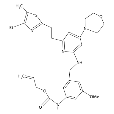 C=CCOC(=O)Nc1cc(CNc2cc(N3CCOCC3)cc(CCc3nc(CC)c(C)s3)n2)cc(OC)c1